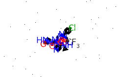 O=C1CN(C(=O)c2nc(Cn3nc(-c4ccc(Cl)cc4)n(CC(O)C(F)(F)F)c3=O)nn2-c2cnccc2C(=O)NC2CC2)CCN1